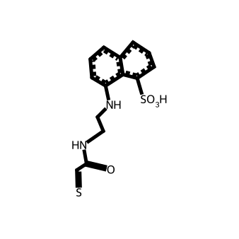 O=C(C=S)NCCNc1cccc2cccc(S(=O)(=O)O)c12